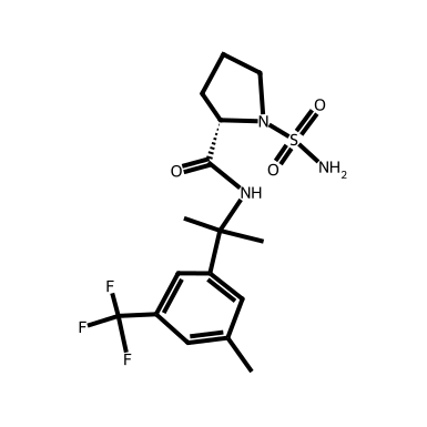 Cc1cc(C(F)(F)F)cc(C(C)(C)NC(=O)[C@@H]2CCCN2S(N)(=O)=O)c1